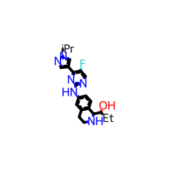 CCC(O)C1NCCc2cc(Nc3ncc(F)c(-c4cnn(C(C)C)c4)n3)ccc21